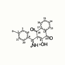 Cc1ccc(C(=N)C2=C(O)C(=O)c3ccccc3C2=O)cc1